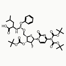 CC(C)CC(NP(OC[C@H]1S[C@@H](n2ccc(N(C(=O)OC(C)(C)C)C(=O)OC(C)(C)C)nc2=O)[C@@H](F)[C@@H]1OC(=O)OC(C)(C)C)Oc1ccccc1)C(=O)O